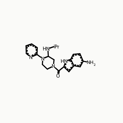 CC(C)NC1CN(C(=O)c2cc3cc(N)ccc3[nH]2)CCN1c1ccccn1